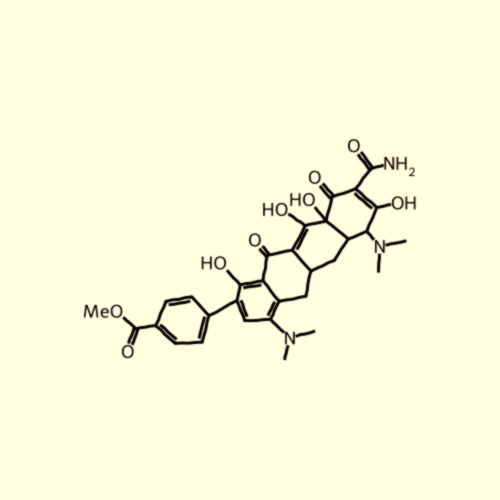 COC(=O)c1ccc(-c2cc(N(C)C)c3c(c2O)C(=O)C2=C(O)C4(O)C(=O)C(C(N)=O)=C(O)C(N(C)C)C4CC2C3)cc1